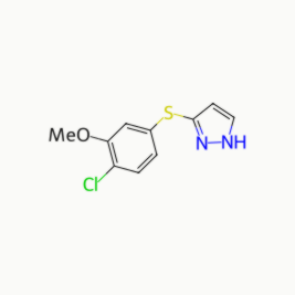 COc1cc(Sc2cc[nH]n2)ccc1Cl